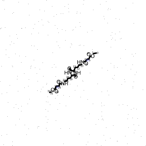 CCOC(=O)/C=C/C(=O)NCCCCC1NC(=O)C(CCCCNC(=O)/C=C/C(=O)OCC)NC1=O